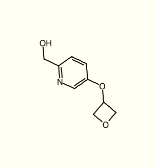 OCc1ccc(OC2COC2)cn1